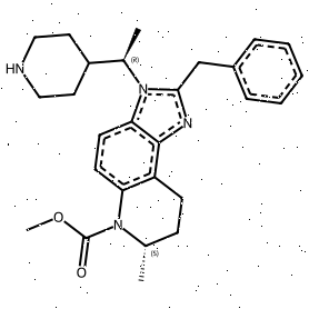 COC(=O)N1c2ccc3c(nc(Cc4ccccc4)n3[C@H](C)C3CCNCC3)c2CC[C@@H]1C